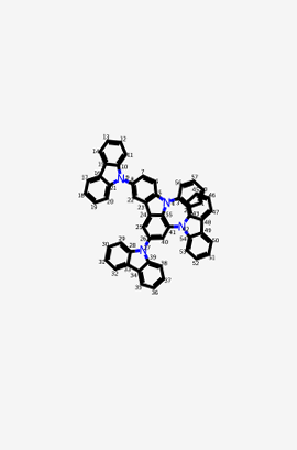 c1ccc(-n2c3ccc(-n4c5ccccc5c5ccccc54)cc3c3cc(-n4c5ccccc5c5ccccc54)cc(-n4c5ccccc5c5ccccc54)c32)cc1